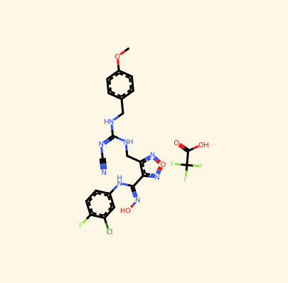 COc1ccc(CN/C(=N/C#N)NCc2nonc2/C(=N/O)Nc2ccc(F)c(Cl)c2)cc1.O=C(O)C(F)(F)F